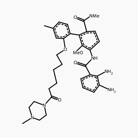 CNC(=O)c1ccc(NC(=O)c2cccc(N)c2N)c(OC)c1-c1ccc(C)cc1OCCCCCC(=O)N1CCN(C)CC1